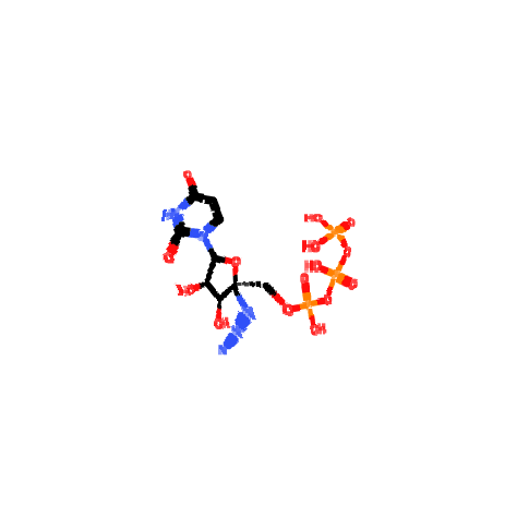 [N-]=[N+]=N[C@]1(COP(=O)(O)OP(=O)(O)OP(=O)(O)O)OC(n2ccc(=O)[nH]c2=O)[C@H](O)[C@@H]1O